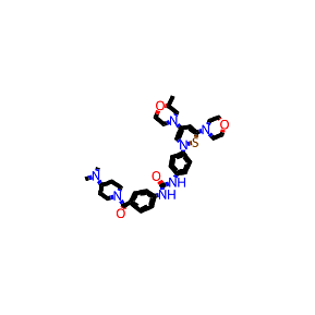 CC1CN(C2=CN(c3ccc(NC(=O)Nc4ccc(C(=O)N5CCC(N(C)C)CC5)cc4)cc3)SC(N3CCOCC3)=C2)CCO1